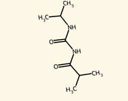 CC(C)NC(=O)NC(=O)C(C)C